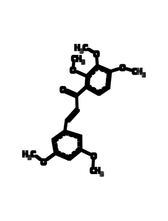 COc1cc(C=CC(=O)c2ccc(OC)c(OC)c2OC)cc(OC)c1